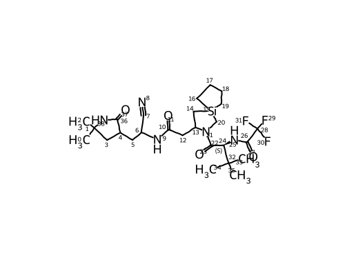 CC1(C)CC(CC(C#N)NC(=O)CC2C[Si]3(CCCC3)CN2C(=O)[C@@H](NC(=O)C(F)(F)F)C(C)(C)C)C(=O)N1